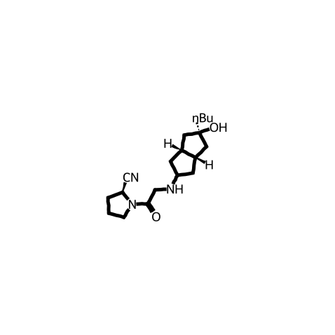 CCCC[C@@]1(O)C[C@H]2CC(NCC(=O)N3CCC[C@H]3C#N)C[C@H]2C1